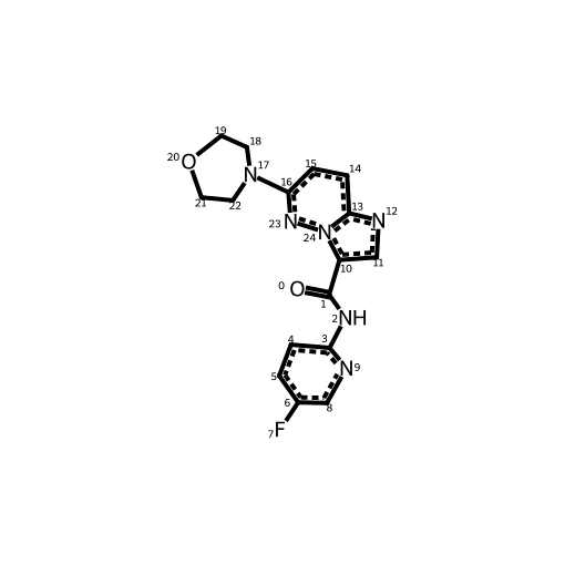 O=C(Nc1ccc(F)cn1)c1cnc2ccc(N3CCOCC3)nn12